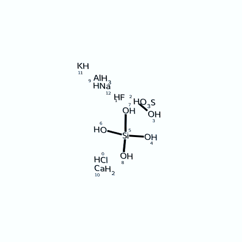 Cl.F.O=S(=O)(O)O.O[Si](O)(O)O.[AlH3].[CaH2].[KH].[NaH]